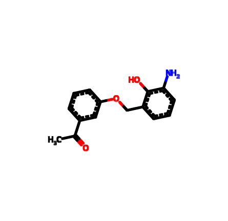 CC(=O)c1cccc(OCc2cccc(N)c2O)c1